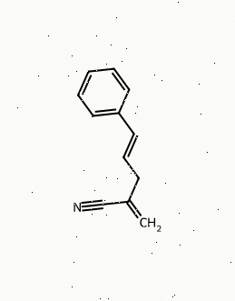 C=C(C#N)CC=Cc1ccccc1